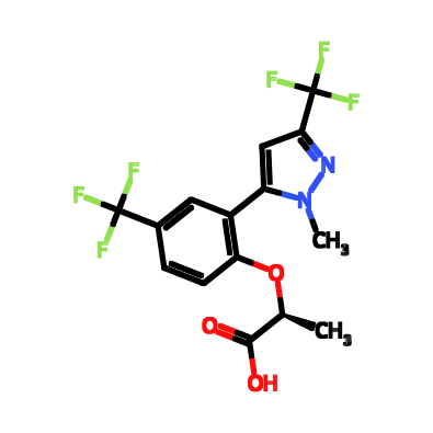 C[C@H](Oc1ccc(C(F)(F)F)cc1-c1cc(C(F)(F)F)nn1C)C(=O)O